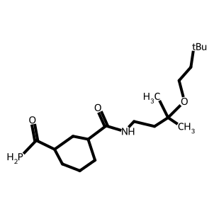 CC(C)(C)CCOC(C)(C)CCNC(=O)C1CCCC(C(=O)P)C1